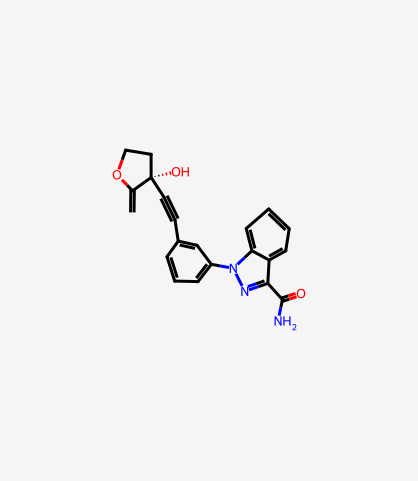 C=C1OCC[C@@]1(O)C#Cc1cccc(-n2nc(C(N)=O)c3ccccc32)c1